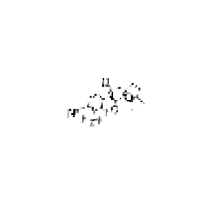 CC1C(C(=O)N(C=O)c2ccc(C#N)c(C(F)(F)F)c2F)C2(C)CCC1(C)O2